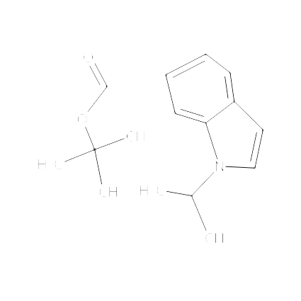 CC(C)(C)OC=O.CC(C)n1ccc2ccccc21